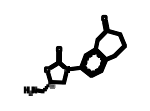 NC[C@H]1CN(c2ccc3c(c2)CC(=O)CCC3)C(=O)O1